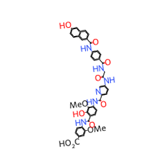 COc1cc(C(=O)O)ccc1NC(=O)c1ccc(NC(=O)c2ccc(NC(=O)CNC(=O)c3ccc(NC(=O)c4ccc5cc(O)ccc5c4)cc3)cn2)c(OC)c1O